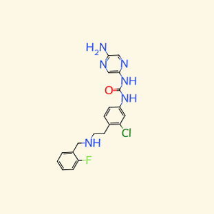 Nc1cnc(NC(=O)Nc2ccc(CCNCc3ccccc3F)c(Cl)c2)cn1